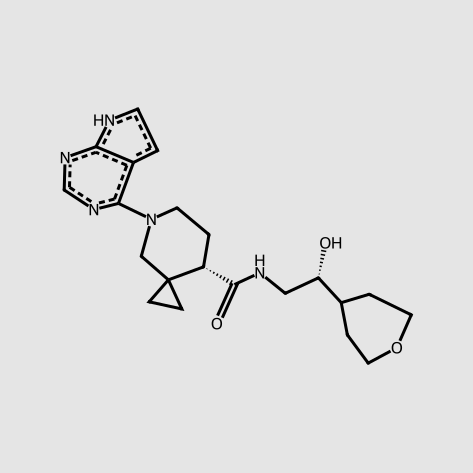 O=C(NC[C@H](O)C1CCOCC1)[C@H]1CCN(c2ncnc3[nH]ccc23)CC12CC2